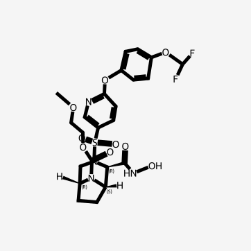 COCCOC(=O)N1[C@@H]2CC[C@H]1[C@H](C(=O)NO)N(S(=O)(=O)c1ccc(Oc3ccc(OC(F)F)cc3)nc1)C2